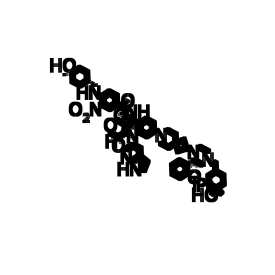 CC(C)Oc1ccccc1[C@H]1CN(CC2CCC(C)(O)CC2)CCN1C1CC2(CCN(c3ccc(C(=O)NS(=O)(=O)c4ccc(NC[C@H]5CC[C@](C)(O)CC5)c([N+](=O)[O-])c4)c(N4c5cc6cc[nH]c6nc5O[C@H]5COCC[C@@H]54)c3)CC2)C1